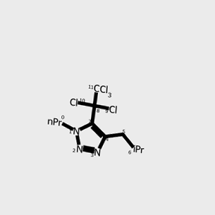 CCCn1nnc(CC(C)C)c1C(Cl)(Cl)C(Cl)(Cl)Cl